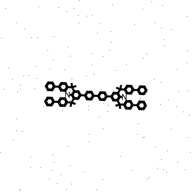 CC1(C)c2ccc(-c3ccccc3)cc2N2c3cc(-c4ccccc4)ccc3C(C)(C)c3cc(-c4ccc(-c5ccc(-c6cc7c8c(c6)C(C)(C)c6ccc(-c9ccccc9)cc6N8c6cc(-c8ccccc8)ccc6C7(C)C)cc5)cc4)cc1c32